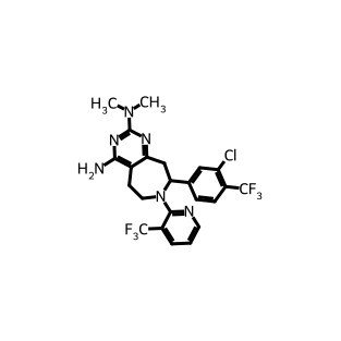 CN(C)c1nc(N)c2c(n1)CC(c1ccc(C(F)(F)F)c(Cl)c1)N(c1ncccc1C(F)(F)F)CC2